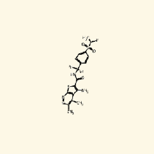 [2H]C([2H])(NC(=O)c1sc2nnc(C)c(C)c2c1N)c1ccc(S(=O)(=O)C(C)F)cc1